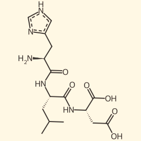 CC(C)C[C@H](NC(=O)[C@@H](N)Cc1c[nH]cn1)C(=O)N[C@@H](CC(=O)O)C(=O)O